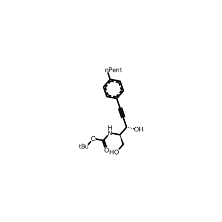 CCCCCc1ccc(C#C[C@H](O)[C@@H](CO)NC(=O)OC(C)(C)C)cc1